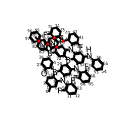 Cc1cc2c3c(c1)N(c1c(F)cccc1F)c1cc4c(cc1B3c1ccccc1O2)B1c2cc3c(cc2N(c2c(F)cccc2CF)c2cc(Nc5ccccc5)cc(c21)N4c1c(F)cccc1F)N(c1c(F)cccc1F)c1cc(C)cc2c1B3c1ccccc1N2c1ccccc1